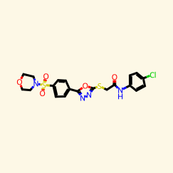 O=C(CSc1nnc(-c2ccc(S(=O)(=O)N3CCOCC3)cc2)o1)Nc1ccc(Cl)cc1